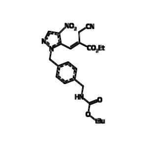 CCOC(=O)/C(=C/c1c([N+](=O)[O-])cnn1Cc1ccc(CNC(=O)OC(C)(C)C)cc1)CC#N